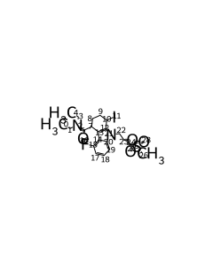 CCN(CC)C(=O)C1CCC(I)c2c1c1c(F)cccc1n2CCOS(C)(=O)=O